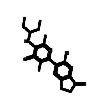 CCC(CC)Nc1c(C)nc(-c2cc3c(cc2Cl)C(=O)CC3)n(C)c1=O